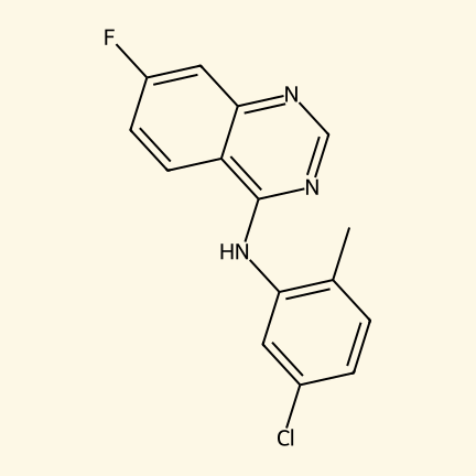 Cc1ccc(Cl)cc1Nc1ncnc2cc(F)ccc12